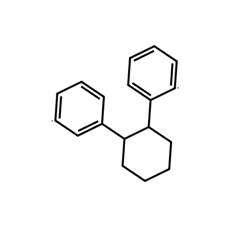 [c]1cccc(C2CCCCC2c2[c]cccc2)c1